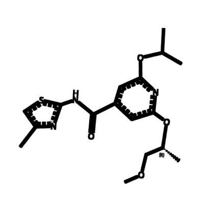 COC[C@@H](C)Oc1cc(C(=O)Nc2nc(C)cs2)cc(OC(C)C)n1